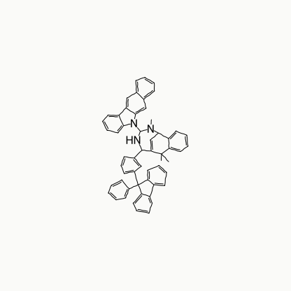 CN1C2C=C(C(c3cccc(C4(c5ccccc5)c5ccccc5-c5ccccc54)c3)NC1n1c3ccccc3c3cc4ccccc4cc31)C(C)(C)c1ccccc12